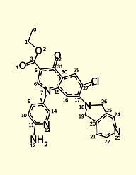 CCOC(=O)c1cn(-c2ccc(N)nc2)c2cc(N3Cc4ccncc4C3)c(Cl)cc2c1=O